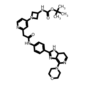 CC(C)(C)OC(=O)NC1CN(c2ccnc(CC(=O)Nc3ccc(C4=NC5=C(N6CCOCC6)N=CCC5N4)cc3)c2)C1